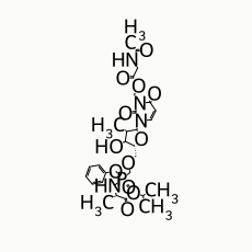 CC(=O)NCC(=O)OCn1c(=O)ccn([C@@H]2O[C@H](COCP(=O)(N[C@@H](C)C(=O)OC(C)C)Oc3ccccc3)[C@@H](O)[C@@H]2C)c1=O